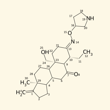 C=C1CCC2C3CC(=O)C4[C@@H](CC)C(=NOC5CCNC5)CC[C@]4(CO)C3CC[C@]12C